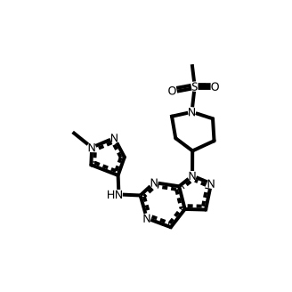 Cn1cc(Nc2ncc3cnn(C4CCN(S(C)(=O)=O)CC4)c3n2)cn1